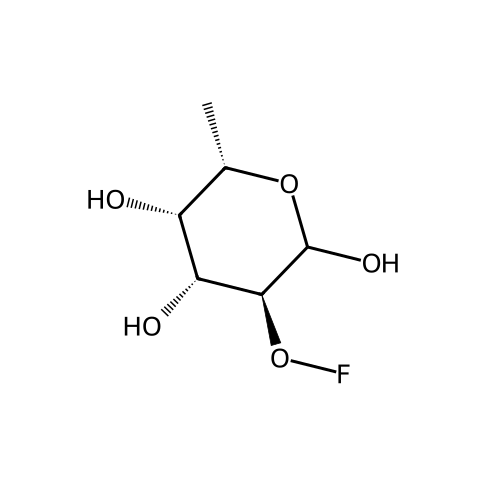 C[C@@H]1OC(O)[C@@H](OF)[C@H](O)[C@@H]1O